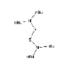 CCCCN(CCCC)SSN(CCCC)CCCC